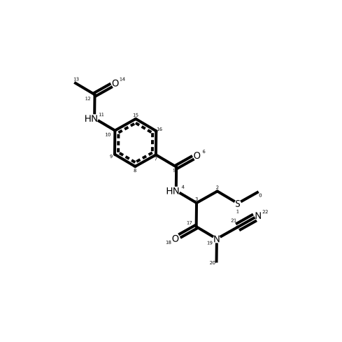 CSCC(NC(=O)c1ccc(NC(C)=O)cc1)C(=O)N(C)C#N